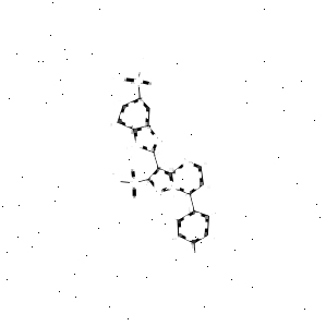 CCS(=O)(=O)c1nn2c(-c3ccc(F)cc3)ccnc2c1-c1nc2cc(S(=O)(=O)C(F)(F)F)ccc2o1